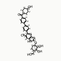 O=C(c1ccc(-c2ccc(-c3nc4nc(O[C@H]5CC[C@H](CO)[C@@H](O)[C@@H]5O)[nH]c4cc3Cl)cc2)cc1)N1CCC(O)CC1